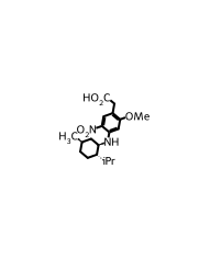 COc1cc(N[C@@H]2C[C@H](C)CC[C@H]2C(C)C)c([N+](=O)[O-])cc1CC(=O)O